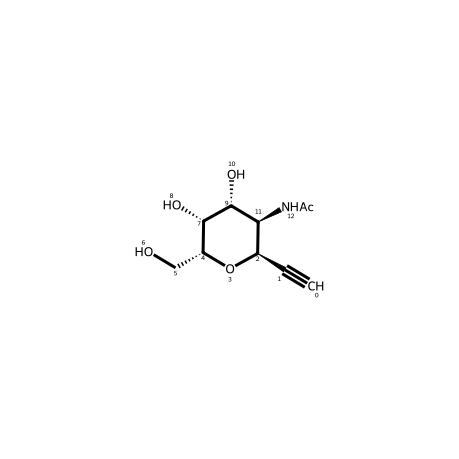 C#C[C@H]1O[C@H](CO)[C@H](O)[C@H](O)[C@H]1NC(C)=O